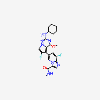 CNC(=O)c1cnc2c(F)cc(-c3c(F)cn4nc(NC5CCCCC5)nc(OC)c34)cn12